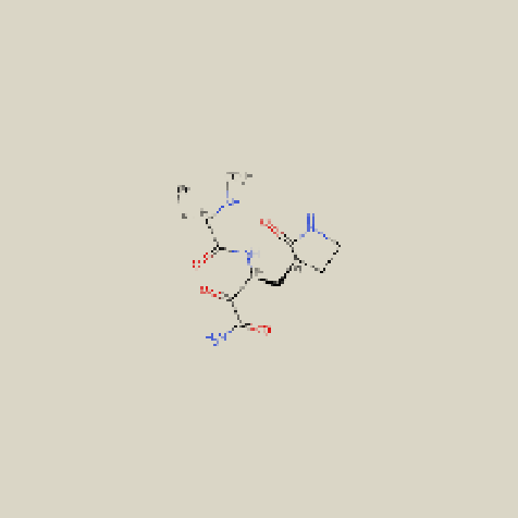 CC(C)C[C@H](NC(=O)O)C(=O)N[C@@H](C[C@@H]1CCNC1=O)C(=O)C(N)=O